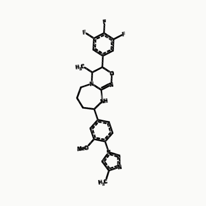 COc1cc(C2CCCN3C(=NOC(c4cc(F)c(F)c(F)c4)C3C)N2)ccc1-n1cnc(C)c1